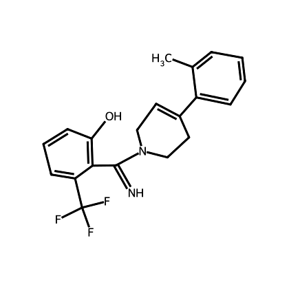 Cc1ccccc1C1=CCN(C(=N)c2c(O)cccc2C(F)(F)F)CC1